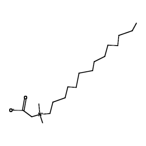 CCCCCCCCCCCCCC[N+](C)(C)CC(=O)[O-]